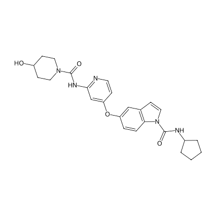 O=C(Nc1cc(Oc2ccc3c(ccn3C(=O)NC3CCCC3)c2)ccn1)N1CCC(O)CC1